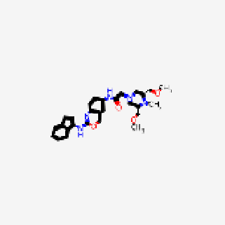 COC[C@H]1CN(CC(=O)Nc2ccc3c(c2)COC(N[C@@H]2CCc4ccccc42)=N3)C[C@H](COC)N1C